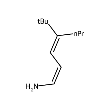 CCC/C(=C\C=C/N)C(C)(C)C